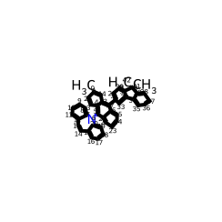 Cc1ccc2c(N3c4ccccc4C=Cc4ccccc43)c3ccccc3c(-c3ccc4c(c3)-c3ccccc3C4(C)C)c2c1